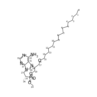 CCCCCCCCCCCCCCCCOCCCO[P@](=O)(OC)[C@H](C)Cn1cnc2c(N)ncnc21